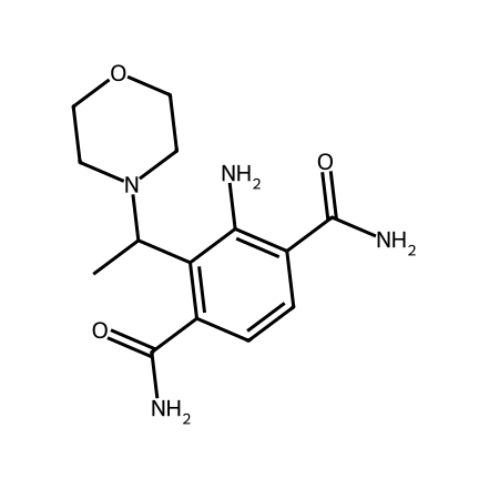 CC(c1c(C(N)=O)ccc(C(N)=O)c1N)N1CCOCC1